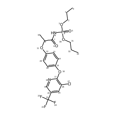 CCCOP(=O)(NC(=O)C(C)Oc1ccc(Oc2ncc(C(F)(F)F)cc2Cl)cc1)OCCC